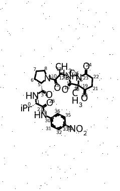 CC(C)[C@H](NC(=O)[C@@H]1CCCN1C(=O)[C@H](C)NC(=O)[C@@]1(C)C(=O)CCC(=O)N1C)C(=O)Nc1ccc([N+](=O)[O-])cc1